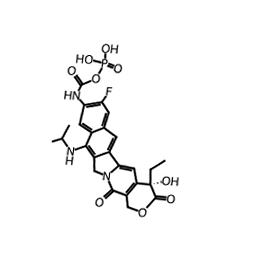 CC[C@@]1(O)C(=O)OCc2c1cc1n(c2=O)Cc2c-1cc1cc(F)c(NC(=O)OP(=O)(O)O)cc1c2NC(C)C